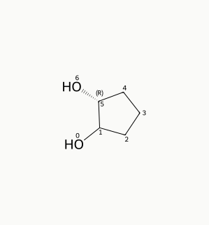 OC1CCC[C@H]1O